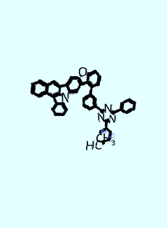 C#C/C=C\C(=C/C)c1nc(-c2ccccc2)nc(-c2cccc(-c3cccc4oc5cc6c7cc8ccccc8c8c9ccccc9n(c6cc5c34)c78)c2)n1